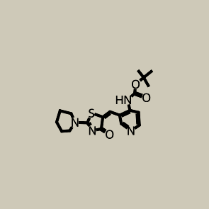 CC(C)(C)OC(=O)Nc1ccncc1C=C1SC(N2CCCCC2)=NC1=O